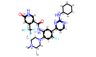 C[C@@H]1CN(c2cc(F)c(-c3ccnc(NC4CCCCC4)n3)cc2NC(=O)c2c[nH]c(=O)cc2C(F)(F)F)C[C@H](C)N1C